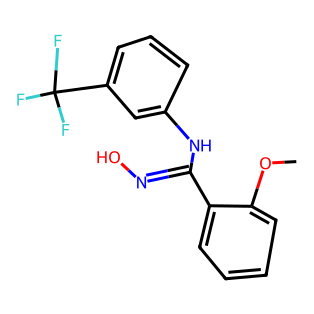 COc1ccccc1/C(=N/O)Nc1cccc(C(F)(F)F)c1